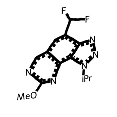 COc1ncc2cc(C(F)F)c3nnn(C(C)C)c3c2n1